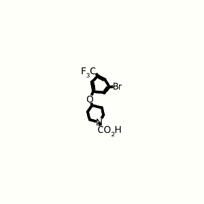 O=C(O)N1CCC(Oc2cc(Br)cc(C(F)(F)F)c2)CC1